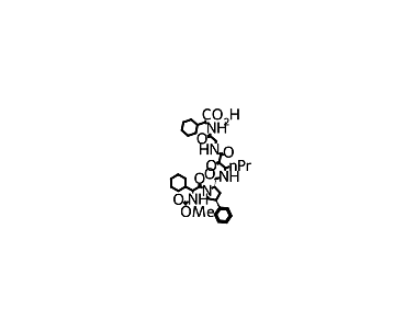 CCCC(NC(=O)[C@@H]1C[C@@H](c2ccccc2)CN1C(=O)[C@@H](NC(=O)OC)C1CCCCC1)C(=O)C(=O)NCC(=O)N[C@H](C(=O)O)C1CCCCC1